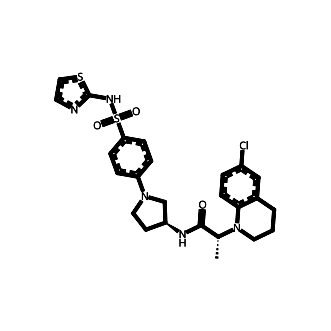 C[C@H](C(=O)N[C@H]1CCN(c2ccc(S(=O)(=O)Nc3nccs3)cc2)C1)N1CCCc2cc(Cl)ccc21